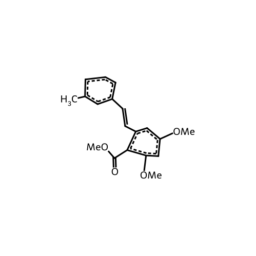 COC(=O)c1c(C=Cc2cccc(C)c2)cc(OC)cc1OC